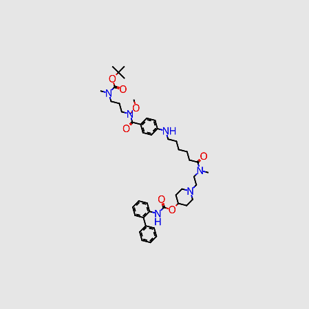 CON(CCCN(C)C(=O)OC(C)(C)C)C(=O)c1ccc(NCCCCCC(=O)N(C)CCN2CCC(OC(=O)Nc3ccccc3-c3ccccc3)CC2)cc1